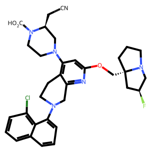 N#CC[C@H]1CN(c2cc(OC[C@]34CCCN3C[C@@H](F)C4)nc3c2CCN(c2cccc4cccc(Cl)c24)C3)CCN1C(=O)O